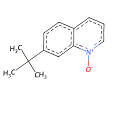 CC(C)(C)c1ccc2ccc[n+]([O-])c2c1